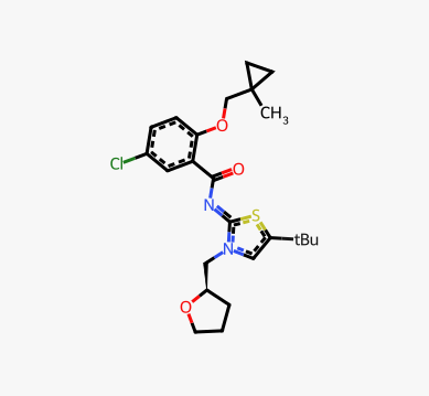 CC1(COc2ccc(Cl)cc2C(=O)/N=c2\sc(C(C)(C)C)cn2C[C@H]2CCCO2)CC1